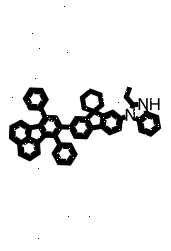 CCC1Nc2ccccc2N1c1ccc2c(c1)C1(CCCCC1)c1cc(-c3cc(-c4ccccc4)c4c(c3-c3ccccc3)-c3cccc5cccc-4c35)ccc1-2